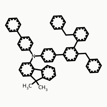 CC1(C)c2ccccc2-c2c(N(c3ccc(-c4ccccc4)cc3)c3ccc(-c4ccc(Cc5ccccc5)c(-c5ccccc5Cc5ccccc5)c4)cc3)cccc21